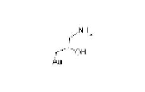 NCC(O)[CH2][Au]